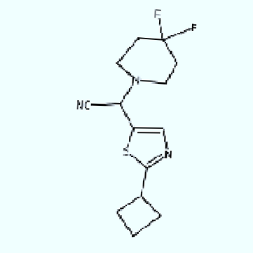 N#CC(c1cnc(C2CCC2)s1)N1CCC(F)(F)CC1